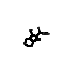 COC(=O)c1[nH]c2c(c1Br)COCC2